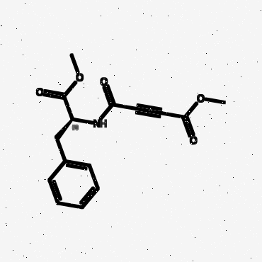 COC(=O)C#CC(=O)N[C@@H](Cc1ccccc1)C(=O)OC